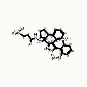 CCN(CC)CCC(=O)NOC(=O)c1n[nH]c(-c2c(OC)cccc2OC)c1-c1ccccc1C1CCCC1